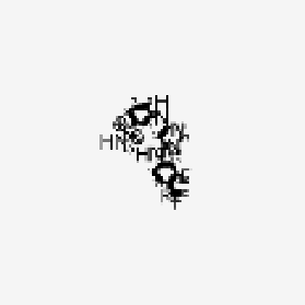 CNS(=O)(=O)c1cccc(Nc2cc(Nc3ccc(C(F)(F)F)c(F)c3)ncn2)c1